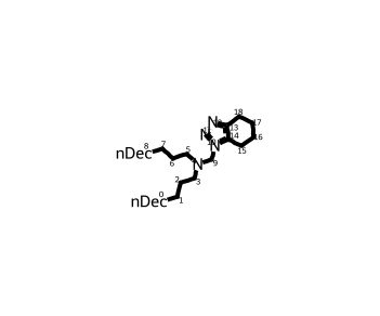 CCCCCCCCCCCCCN(CCCCCCCCCCCCC)Cn1nnc2c1CCCC2